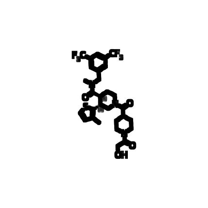 Cc1ccsc1[C@H]1CN(C(=O)C2CCN(C(=O)CO)CC2)CC[C@@H]1C(=O)N(C)Cc1cc(C(F)(F)F)cc(C(F)(F)F)c1